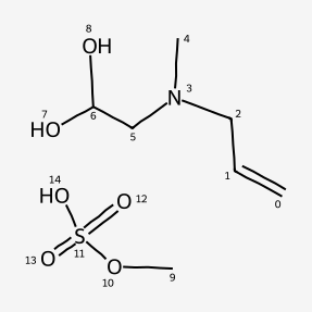 C=CCN(C)CC(O)O.COS(=O)(=O)O